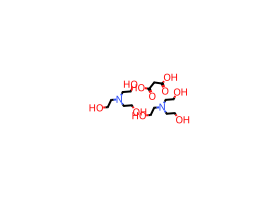 O=C(O)CC(=O)O.OCCN(CCO)CCO.OCCN(CCO)CCO